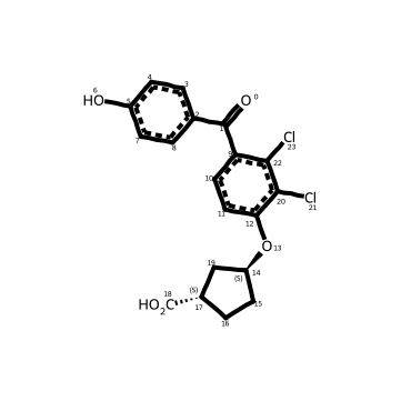 O=C(c1ccc(O)cc1)c1ccc(O[C@H]2CC[C@H](C(=O)O)C2)c(Cl)c1Cl